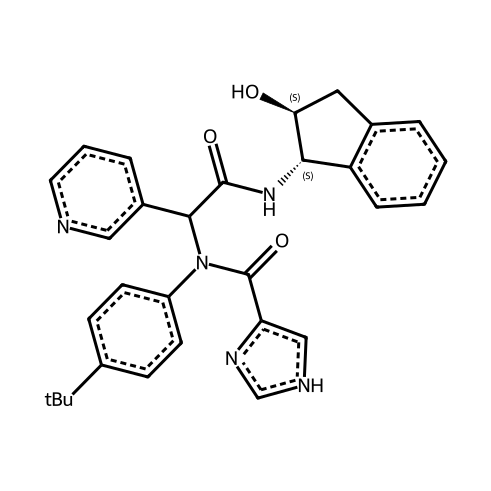 CC(C)(C)c1ccc(N(C(=O)c2c[nH]cn2)C(C(=O)N[C@H]2c3ccccc3C[C@@H]2O)c2cccnc2)cc1